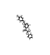 O=C(Oc1ccccc1)N(F)c1ccnc(OCc2ccc(F)cc2)n1